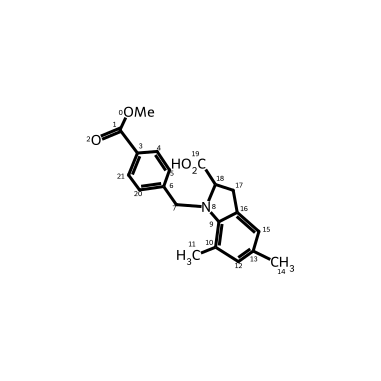 COC(=O)c1ccc(CN2c3c(C)cc(C)cc3CC2C(=O)O)cc1